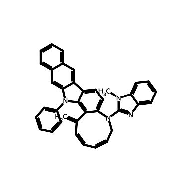 C=C1/C=C\C=C/CN(c2nc3ccccc3n2C)c2ccc3c4cc5ccccc5cc4n(-c4ccccc4)c3c21